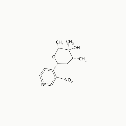 C[C@@H]1C[C@H](c2ccncc2[N+](=O)[O-])O[C@H](C)[C@@]1(C)O